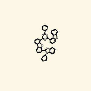 c1ccc(-c2nc(-c3cccc4c3oc3c(-c5nc6ccccc6n5-c5ccccc5)cccc34)nc(-c3cccc4sc5ccccc5c34)n2)cc1